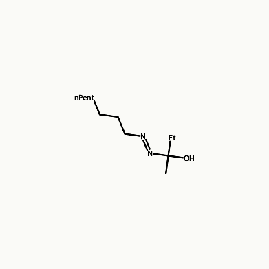 CCCCCCCC/N=N/C(C)(O)CC